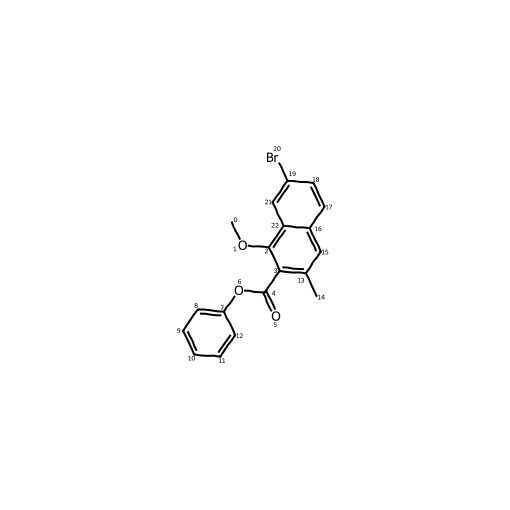 COc1c(C(=O)Oc2ccccc2)c(C)cc2ccc(Br)cc12